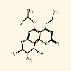 CCCc1cc(=O)oc2c3c(cc(OC(C)C)c12)O[C@H](C)[C@@H](C)[C@@H]3O